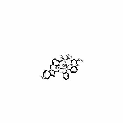 Cc1nc2c(n1Cc1ccc(S(=O)(=O)N(C)[C@@H](CC(C)C)C(=O)O[Si](c3ccccc3)(c3ccccc3)C(C)(C)C)cc1)C=CNC2